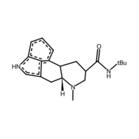 CN1CC(C(=O)NC(C)(C)C)CC2c3cccc4[nH]cc(c34)C[C@H]21